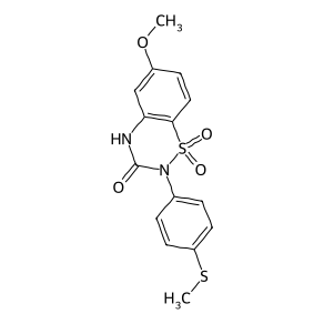 COc1ccc2c(c1)NC(=O)N(c1ccc(SC)cc1)S2(=O)=O